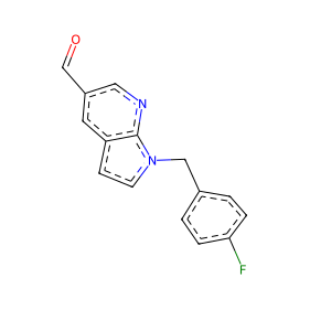 O=Cc1cnc2c(ccn2Cc2ccc(F)cc2)c1